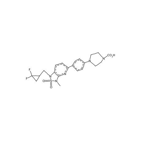 CN1c2nc(-c3ccc(N4CCN(C(=O)O)CC4)cc3)ccc2N(CC2CC2(F)F)S1(=O)=O